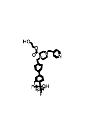 O=C(OCCO)[C@@H]1CN(Cc2ccncc2)CCN1Cc1ccc(-c2ccc(C(O)(C(F)(F)F)C(F)(F)F)cc2)cc1